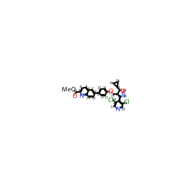 COC(=O)c1ccc2cc(-c3ccc(OCC4C(c5c(Cl)cncc5Cl)=NOC4C4CC4)cc3)ccc2n1